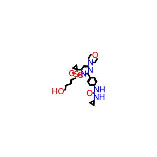 O=C(Nc1ccc(-c2nc(N3CCOCC3)cc(C3(S(=O)(=O)CC=CCCO)CC3)n2)cc1)NC1CC1